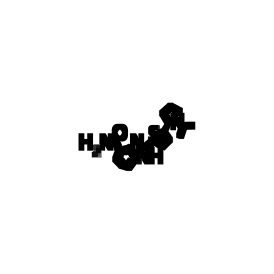 CC(C)N1CCC[C@@H]1c1ccc(-c2nc3c(C(N)=O)cccc3[nH]2)s1